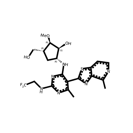 CO[C@@H]1[C@@H](CO)C[C@@H](Nc2nc(NCC(F)(F)F)nc(C)c2-c2nc3c(C)nccc3s2)[C@@H]1O